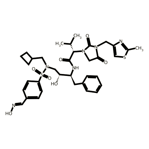 Cc1nc(CN2C(=O)CN([C@H](C(=O)N[C@@H](Cc3ccccc3)[C@H](O)CN(CC3CCC3)S(=O)(=O)c3ccc(/C=N/O)cc3)C(C)C)C2=O)cs1